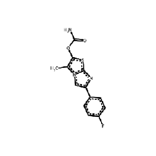 Cc1c(OC(N)=O)sc2nc(-c3ccc(F)cc3)cn12